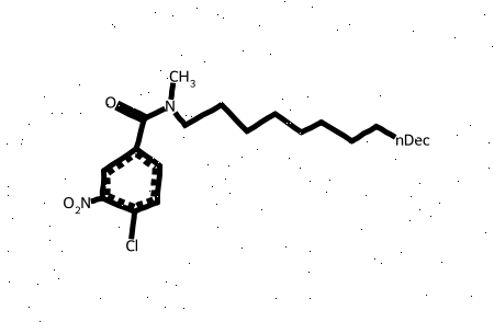 CCCCCCCCCCCCCCCCCCN(C)C(=O)c1ccc(Cl)c([N+](=O)[O-])c1